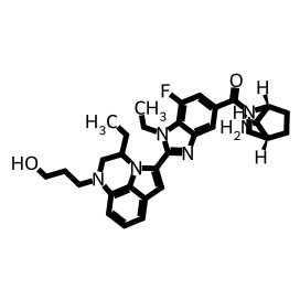 CCC1CN(CCCO)c2cccc3cc(-c4nc5cc(C(=O)N6C[C@H]7CC[C@@H]6[C@@H]7N)cc(F)c5n4CC)n1c23